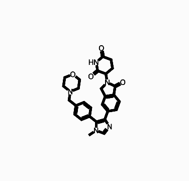 Cn1cnc(-c2ccc3c(c2)CN(C2CCC(=O)NC2=O)C3=O)c1-c1ccc(CN2CCOCC2)cc1